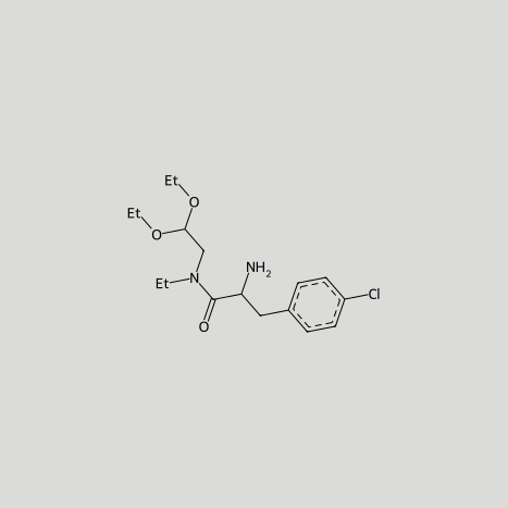 CCOC(CN(CC)C(=O)C(N)Cc1ccc(Cl)cc1)OCC